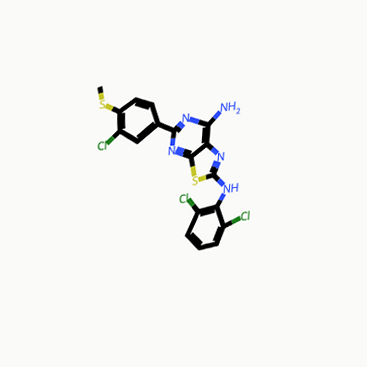 CSc1ccc(-c2nc(N)c3nc(Nc4c(Cl)cccc4Cl)sc3n2)cc1Cl